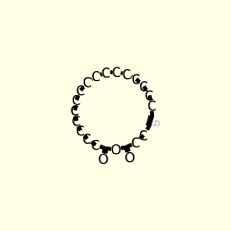 O=C1CC/C=C\CCCCCCCCCCCCCCCCC(=O)O1